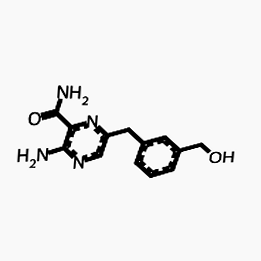 NC(=O)c1nc(Cc2cccc(CO)c2)cnc1N